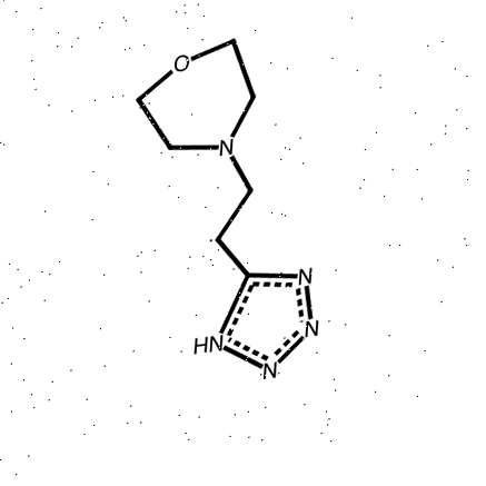 [CH](CN1CCOCC1)c1nnn[nH]1